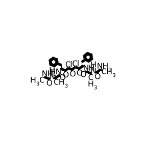 C[C@H](N)C(=O)N[C@@H](C)C(=O)N[C@@H](Cc1ccccc1)C(=O)C(Cl)C(=O)C(Cl)C(=O)[C@H](Cc1ccccc1)NC(=O)[C@H](C)NC(=O)[C@H](C)N